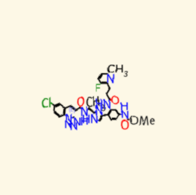 COC(=O)Nc1ccc(-c2c[nH]c(C(C)NC(=O)/C=C/c3cc(Cl)ccc3-n3cnnn3)n2)c(NC(=O)CCc2nc(C)ccc2F)c1